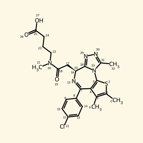 Cc1sc2c(c1C)C(c1ccc(Cl)cc1)=N[C@@H](CC(=O)N(C)CCCC(=O)O)c1nnc(C)n1-2